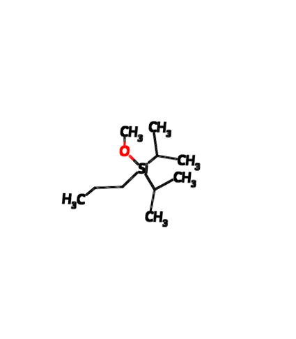 CCC[Si](OC)(C(C)C)C(C)C